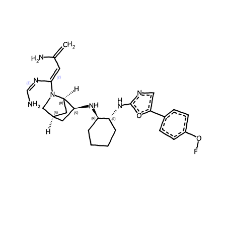 C=C(N)/C=C(\N=C/N)N1C[C@@H]2C[C@H](N[C@@H]3CCCC[C@H]3Nc3ncc(-c4ccc(OF)cc4)o3)[C@H]1C2